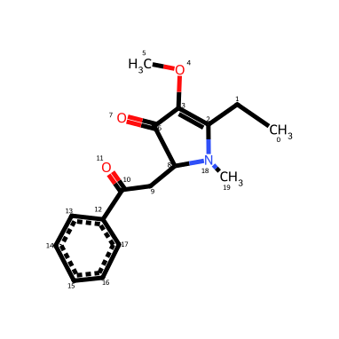 CCC1=C(OC)C(=O)C(CC(=O)c2ccccc2)N1C